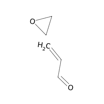 C1CO1.C=CC=O